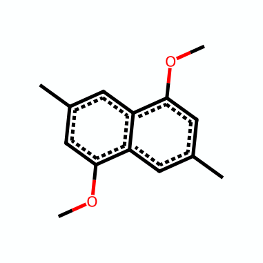 COc1cc(C)cc2c(OC)cc(C)cc12